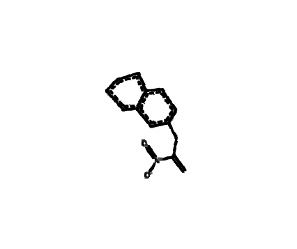 C=C(Cc1ccc2ccccc2c1)[N+](=O)[O-]